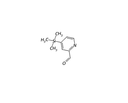 C[Si](C)(C)c1ccnc(C=O)c1